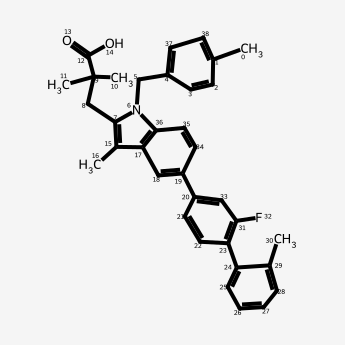 Cc1ccc(Cn2c(CC(C)(C)C(=O)O)c(C)c3cc(-c4ccc(-c5ccccc5C)c(F)c4)ccc32)cc1